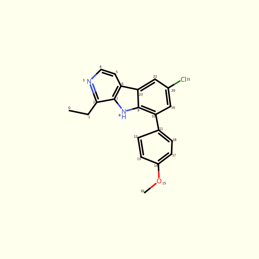 CCc1nccc2c1[nH]c1c(-c3ccc(OC)cc3)cc(Cl)cc12